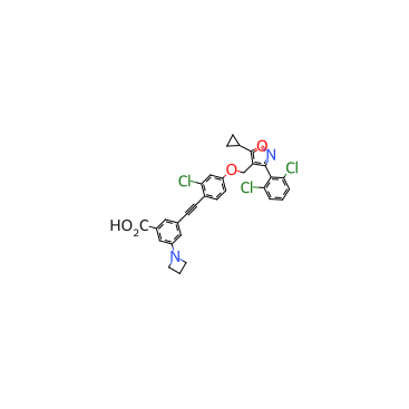 O=C(O)c1cc(C#Cc2ccc(OCc3c(-c4c(Cl)cccc4Cl)noc3C3CC3)cc2Cl)cc(N2CCC2)c1